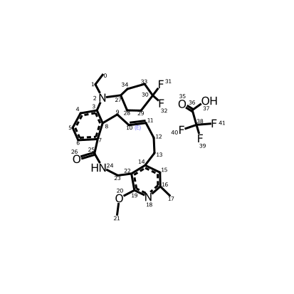 CCN(c1cccc2c1C/C=C/CCc1cc(C)nc(OC)c1CNC2=O)C1CCC(F)(F)CC1.O=C(O)C(F)(F)F